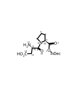 CCCCCCCCCCOC(=O)[C@@H]1CCCN1C(=O)[C@@H](N)CC(=O)O